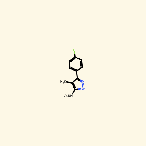 CC(=O)Nc1[nH]nc(-c2ccc(F)cc2)c1C